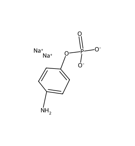 Nc1ccc(OP(=O)([O-])[O-])cc1.[Na+].[Na+]